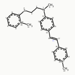 CN(CCSc1cccc[n+]1C)c1ccc(/C=C/c2cc[n+](C)cc2)cc1